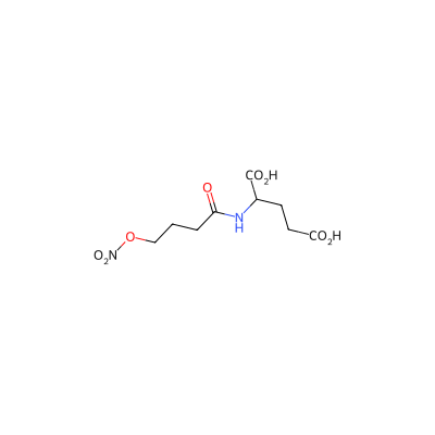 O=C(O)CCC(NC(=O)CCCO[N+](=O)[O-])C(=O)O